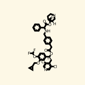 O=C(Cc1ccc(CNC(C(=O)O[C@H]2CN3CCC2CC3)c2ccccc2)cc1)O[C@@H](Cc1c(Cl)cncc1Cl)c1ccc(OC(F)F)c(OCC2CC2)c1